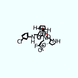 CS(=O)(=O)/C(F)=C\[C@@H](C[C@H]1CCNC1=O)NC(=O)[C@H]1[C@H]2CC[C@H](CC2(F)F)N1C(=O)CNc1cccc(Cl)c1